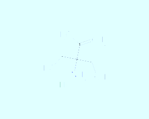 C=C(C)C(N)(CC)CC.Cl